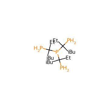 CCC(C)C(P)(CC)P(C(P)(CC)C(C)CC)C(P)(CC)C(C)CC